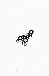 COc1ccc2c3c1O[C@@H]1C(=O)CC[C@@H]4C(NCc5ccccc5)(CCCC314)C2